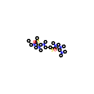 c1ccc(-c2cccc(N3c4cccc5c4B(c4ccc(N(c6ccccc6)c6cccc(-c7ccc8c(c7)sc7oc9c(c78)N(c7ccccc7)c7cccc8c7B9c7ccc(N(c9ccccc9)c9ccccc9)cc7N8c7ccccc7)c6)cc4N5c4ccccc4)c4c3oc3c4sc4ccccc43)c2)cc1